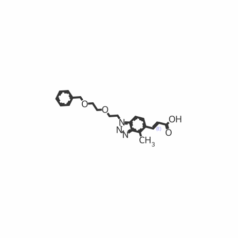 Cc1c(/C=C/C(=O)O)ccc2c1nnn2CCOCCOCc1ccccc1